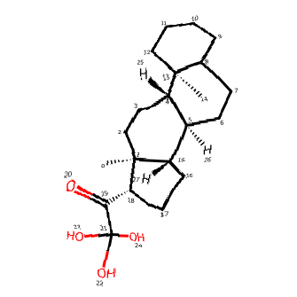 C[C@]12CC[C@H]3[C@@H](CCC4CCCC[C@@]43C)[C@@H]1CC[C@@H]2C(=O)C(O)(O)O